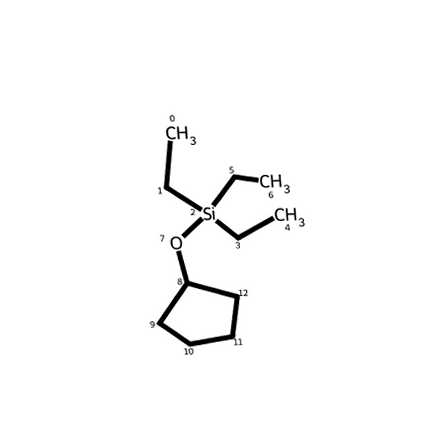 CC[Si](CC)(CC)OC1CCCC1